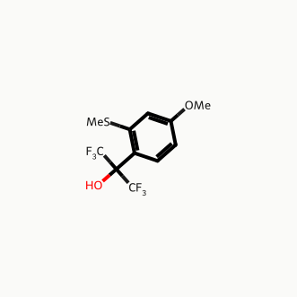 COc1ccc(C(O)(C(F)(F)F)C(F)(F)F)c(SC)c1